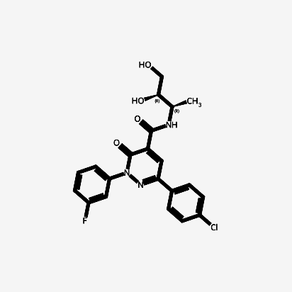 C[C@@H](NC(=O)c1cc(-c2ccc(Cl)cc2)nn(-c2cccc(F)c2)c1=O)[C@@H](O)CO